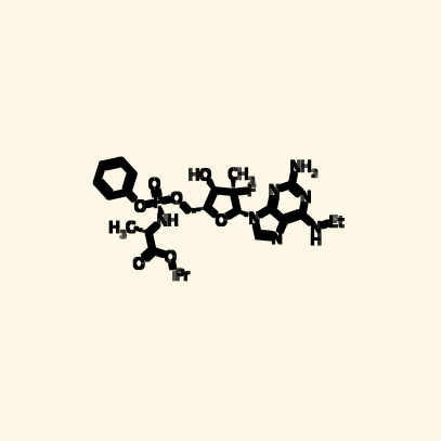 CCNc1nc(N)nc2c1ncn2[C@@H]1O[C@H](CO[P@](=O)(N[C@@H](C)C(=O)OC(C)C)Oc2ccccc2)[C@@H](O)[C@@]1(C)F